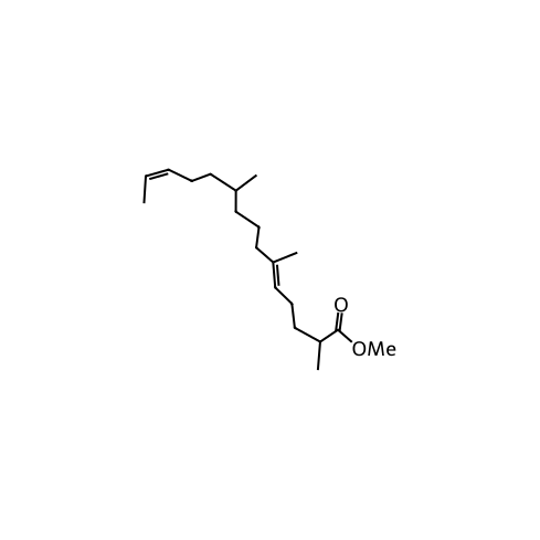 C/C=C\CCC(C)CCC/C(C)=C/CCC(C)C(=O)OC